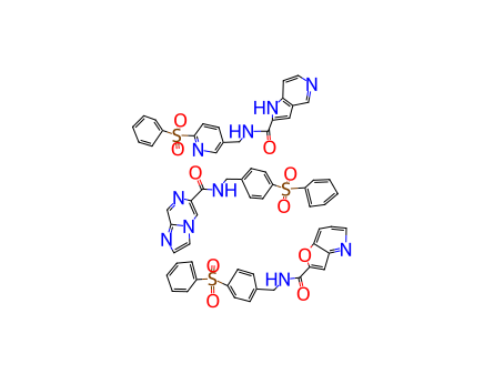 O=C(NCc1ccc(S(=O)(=O)c2ccccc2)cc1)c1cc2ncccc2o1.O=C(NCc1ccc(S(=O)(=O)c2ccccc2)cc1)c1cn2ccnc2cn1.O=C(NCc1ccc(S(=O)(=O)c2ccccc2)nc1)c1cc2cnccc2[nH]1